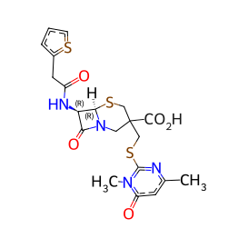 Cc1cc(=O)n(C)c(SCC2(C(=O)O)CS[C@@H]3[C@H](NC(=O)Cc4cccs4)C(=O)N3C2)n1